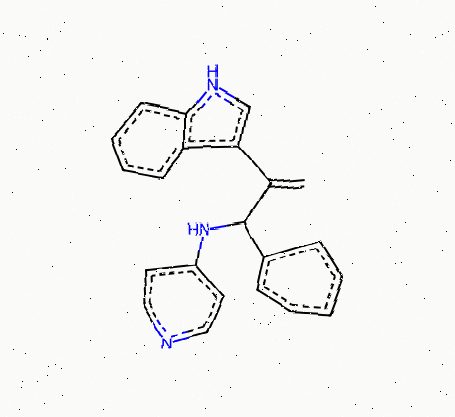 C=C(c1c[nH]c2ccccc12)C(Nc1ccncc1)c1ccccc1